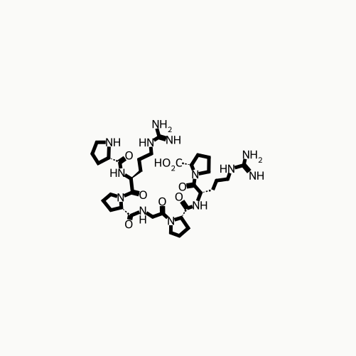 N=C(N)NCCC[C@H](NC(=O)[C@@H]1CCCN1C(=O)CNC(=O)[C@@H]1CCCN1C(=O)[C@H](CCCNC(=N)N)NC(=O)[C@@H]1CCCN1)C(=O)N1CCC[C@H]1C(=O)O